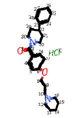 Cl.O=C(c1ccc(OCCCN2CCCCC2)cc1)N1CCC(c2ccccc2)CC1